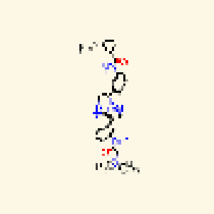 CN(C)CC(=O)Nc1cccc(-c2cnn3c(-c4cccc(NC(=O)c5cccc(C(F)(F)F)c5)c4)ccnc23)c1